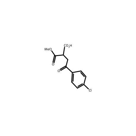 COC(=O)C(CC(=O)c1ccc(Cl)cc1)C(=O)O